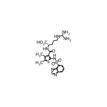 Cc1sc(NS(=O)(=O)c2cccc3nsnc23)c(C(=O)N[C@@H](CCCNC(N)N)C(=O)O)c1C